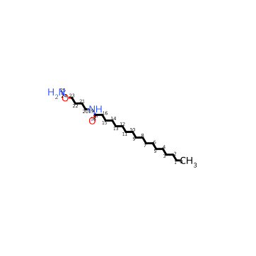 CCCCCCCCCCCCCCCCCC(=O)NCCCCON